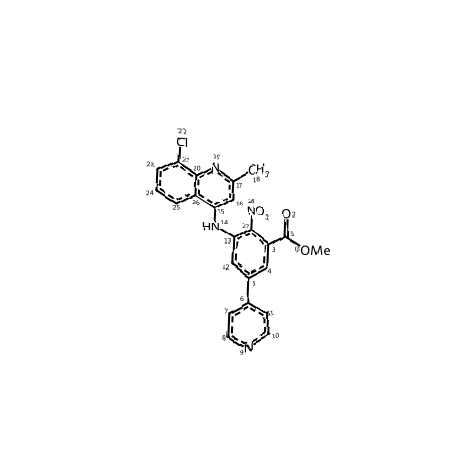 COC(=O)c1cc(-c2ccncc2)cc(Nc2cc(C)nc3c(Cl)cccc23)c1[N+](=O)[O-]